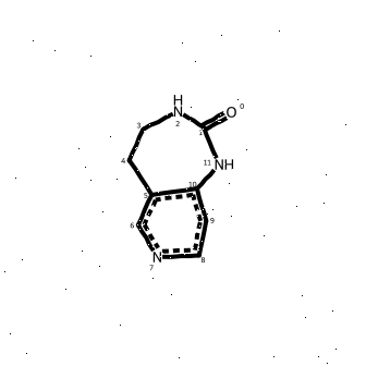 O=C1NCCc2cnccc2N1